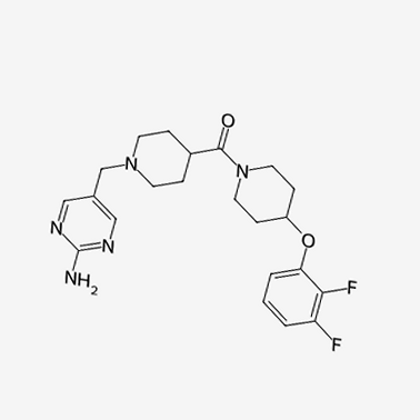 Nc1ncc(CN2CCC(C(=O)N3CCC(Oc4cccc(F)c4F)CC3)CC2)cn1